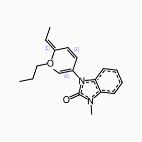 C\C=C(/C=C\C(=C/C)n1c(=O)n(C)c2ccccc21)OCCC